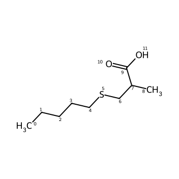 CCCCCSCC(C)C(=O)O